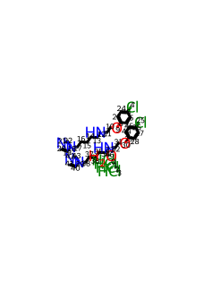 Cl.Cl.Cl.Cl.Clc1ccc(OCCNCCCCCn2ccnc2)cc1.Clc1ccc(OCCNCCCCCn2ccnc2)cc1.O